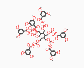 COc1cc(OC)cc(C(=O)OOC(=O)OCCC(COC(=O)OOC(=O)c2cc(OC)cc(OC)c2)C(COC(=O)OOC(=O)c2cc(OC)cc(OC)c2)C(COC(=O)OOC(=O)c2cc(OC)cc(OC)c2)C(CCOC(=O)OOC(=O)c2cc(OC)cc(OC)c2)COC(=O)OOC(=O)c2cc(OC)cc(OC)c2)c1